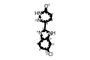 O=c1ccc(-c2nc3ccc(Cl)cc3[nH]2)n[nH]1